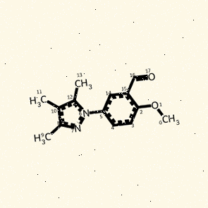 COc1ccc(-n2nc(C)c(C)c2C)cc1C=O